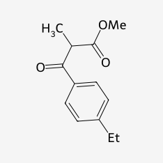 CCc1ccc(C(=O)C(C)C(=O)OC)cc1